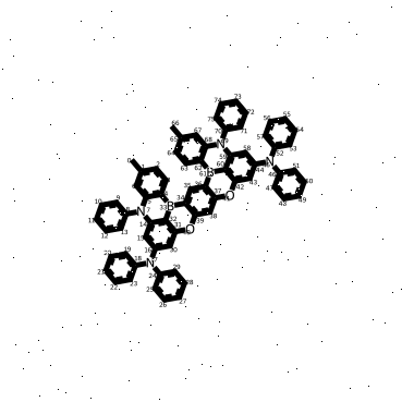 Cc1ccc2c(c1)N(c1ccccc1)c1cc(N(c3ccccc3)c3ccccc3)cc3c1B2c1cc2c(cc1O3)Oc1cc(N(c3ccccc3)c3ccccc3)cc3c1B2c1ccc(C)cc1N3c1ccccc1